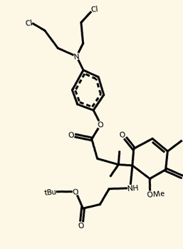 COC1C(=O)C(C)=CC(=O)C1(NCCC(=O)OC(C)(C)C)C(C)(C)CC(=O)Oc1ccc(N(CCCl)CCCl)cc1